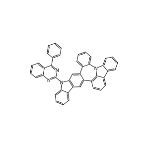 c1ccc(-c2nc(-n3c4ccccc4c4cc5c(cc43)-c3ccccc3-n3c4ccccc4c4cccc-5c43)nc3ccccc23)cc1